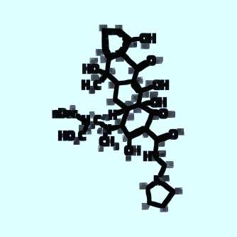 CCCCCCCCCCCC(=O)O.CN(C)[C@@H]1C(O)=C(C(=O)NCN2CCCC2)C(=O)[C@@]2(O)C(O)=C3C(=O)c4c(O)cccc4[C@@](C)(O)C3C[C@@H]12